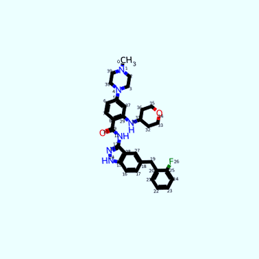 CN1CCN(c2ccc(C(=O)Nc3n[nH]c4ccc(Cc5ccccc5F)cc34)c(NC3CCOCC3)c2)CC1